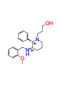 COc1ccccc1CN[C@@H]1CCCN(CCCO)[C@@H]1c1ccccc1